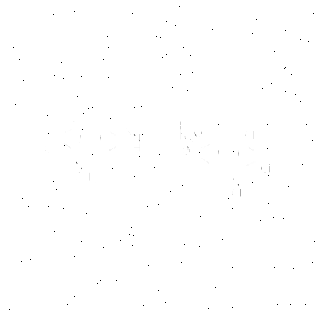 CN1Cc2c(Cl)cc(Cl)cc2C(c2ccc(SNCCCCNS(=O)(=O)c3ccc(C4CN(C)Cc5c(Cl)cc(Cl)cc54)cc3)cc2)C1